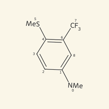 CNc1ccc(SC)c(C(F)(F)F)c1